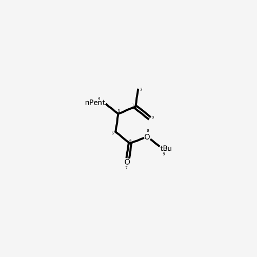 C=C(C)C(CCCCC)CC(=O)OC(C)(C)C